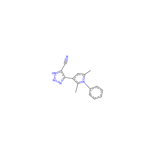 Cc1cc(-c2nn[nH]c2C#N)c(C)n1-c1ccccc1